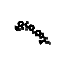 C=C(Nc1nc2ccc(Oc3cccc(NC(=O)c4cccc(C5(C#N)CC5)c4Cl)c3)nc2s1)C1CC1